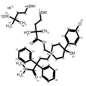 CCCCCCCCCCCCC(C)(C)C(=O)OC[N+]1(CCC(C(=O)N(C)C)(c2ccccc2)c2ccccc2)CCC(O)(c2ccc(Cl)cc2)CC1.CCCCCCCCCCCCC(C)(C)C(=O)[O-].I